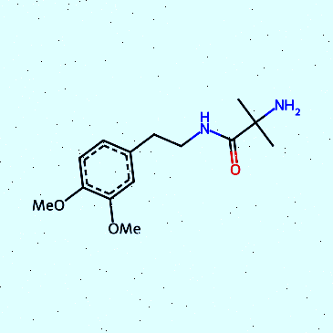 COc1ccc(CCNC(=O)C(C)(C)N)cc1OC